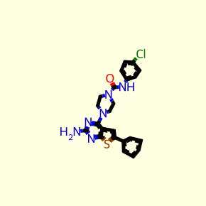 Nc1nc(N2CCN(C(=O)Nc3ccc(Cl)cc3)CC2)c2cc(-c3ccccc3)sc2n1